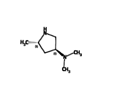 C[C@H]1C[C@H](N(C)C)CN1